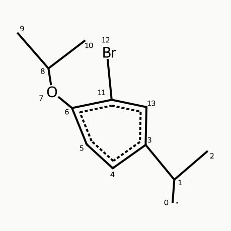 [CH2]C(C)c1ccc(OC(C)C)c(Br)c1